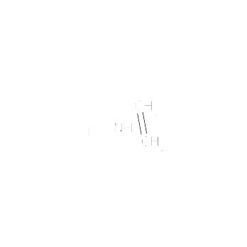 C=C.F.N